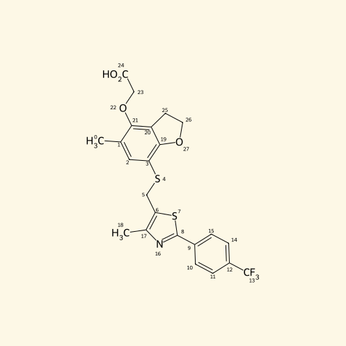 Cc1cc(SCc2sc(-c3ccc(C(F)(F)F)cc3)nc2C)c2c(c1OCC(=O)O)CCO2